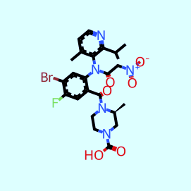 Cc1ccnc(C(C)C)c1N(C(=O)C[N+](=O)[O-])c1cc(Br)c(F)cc1C(=O)N1CCN(C(=O)O)C[C@@H]1C